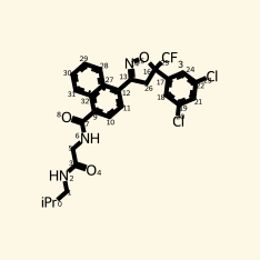 CC(C)CNC(=O)CNC(=O)c1ccc(C2=NOC(c3cc(Cl)cc(Cl)c3)(C(F)(F)F)C2)c2ccccc12